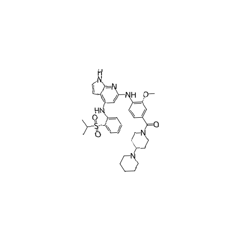 COc1cc(C(=O)N2CCC(N3CCCCC3)CC2)ccc1Nc1cc(Nc2ccccc2S(=O)(=O)C(C)C)c2cc[nH]c2n1